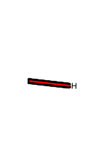 B=BB=BB=BB=BB=BB=BB=BB=BB=BB=BB=BB=BB=BB=BB=BB=BB=BB=BB=BB=BB=BB=BB=BB=BB=BB=BB=BB=BB=BB=BB=BB=BB=BB=BB=BB=BB=BB=BB=BC